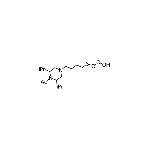 CC(=O)N1C(C(C)C)CN(CCCCSOOO)CC1C(C)C